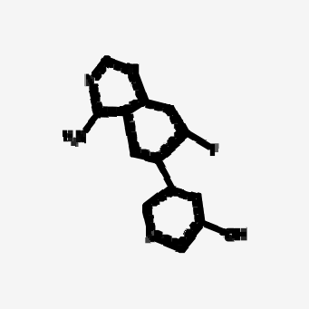 Nc1ncnc2cc(F)c(-c3cncc(O)c3)cc12